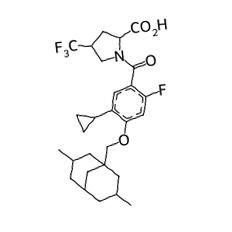 CC1CC2CC(C)CC(COc3cc(F)c(C(=O)N4CC(C(F)(F)F)CC4C(=O)O)cc3C3CC3)(C1)C2